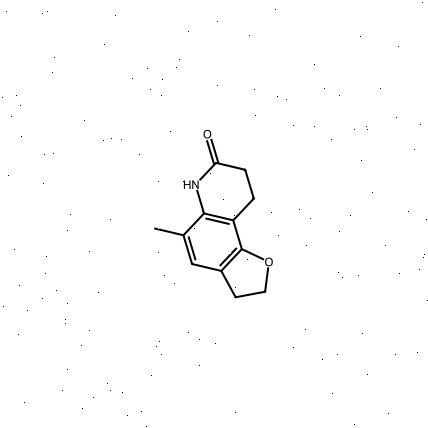 Cc1cc2c(c3c1NC(=O)CC3)OCC2